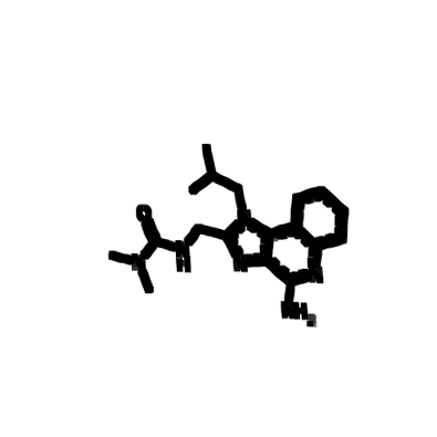 CC(C)Cn1c(CNC(=O)N(C)C)nc2c(N)nc3ccccc3c21